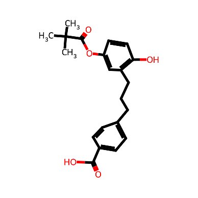 CC(C)(C)C(=O)Oc1ccc(O)c(CCCc2ccc(C(=O)O)cc2)c1